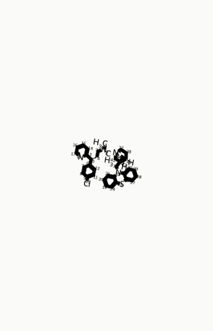 CN(C)CC[C@H](c1ccc(Cl)cc1)c1ccccn1.c1ccc2c(c1)Sc1ccccc1N2C[C@H]1C[N@]2CC[C@H]1CC2